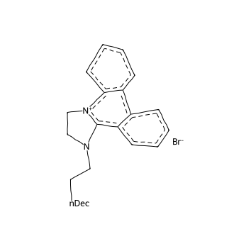 CCCCCCCCCCCCN1CC[n+]2c1c1ccccc1c1ccccc12.[Br-]